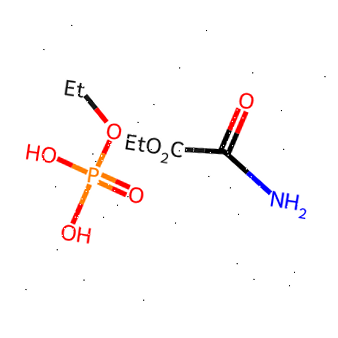 CCOC(=O)C(N)=O.CCOP(=O)(O)O